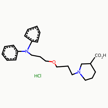 Cl.O=C(O)C1CCCN(CCCOCCCN(c2ccccc2)c2ccccc2)C1